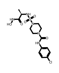 C[C@@H](NS(=O)(=O)N1CCN(C(=O)Nc2ccc(Cl)cc2)CC1)C(=O)NO